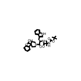 CC(C)(C)OC(=O)NC(C)(C)C(=O)N[C@H](Cc1c[nH]c2ccccc12)C(=O)N1CCC(C(=O)O)(c2ccccc2)CC1